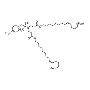 CCCCC/C=C\C/C=C\CCCCCCCCOC(=O)CCN(CCC(=O)OCCCCCCCC/C=C\C/C=C\CCCCC)C(C)(C)CN1CCN(C)CC1